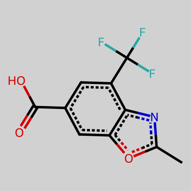 Cc1nc2c(C(F)(F)F)cc(C(=O)O)cc2o1